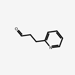 O=[C]CCc1ccccn1